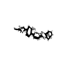 Cc1nc(-c2ccc(-c3ccc(O[C@@H]4CC5CCCC(N5)[C@@H]4F)nn3)c(O)c2)cs1